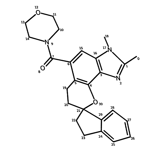 Cc1nc2c3c(c(C(=O)N4CCOCC4)cc2n1C)CCC1(CCc2ccccc21)O3